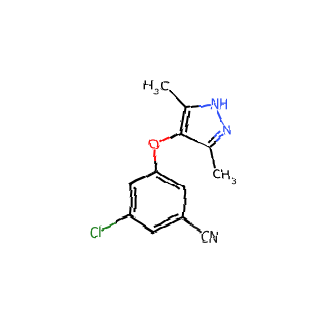 Cc1n[nH]c(C)c1Oc1cc(Cl)cc(C#N)c1